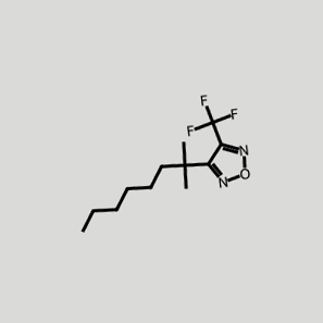 CCCCCCC(C)(C)c1nonc1C(F)(F)F